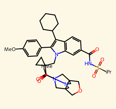 CNC(=O)N1CC23COCC2(C1)CN(C(=O)C1(Cn2c(-c4ccc(OC)cc4)c(C4CCCCC4)c4ccc(C(=O)NS(=O)(=O)C(C)C)cc42)CC1)C3